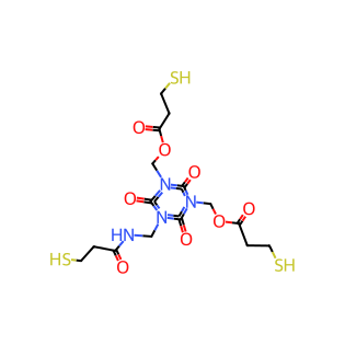 O=C(CCS)NCn1c(=O)n(COC(=O)CCS)c(=O)n(COC(=O)CCS)c1=O